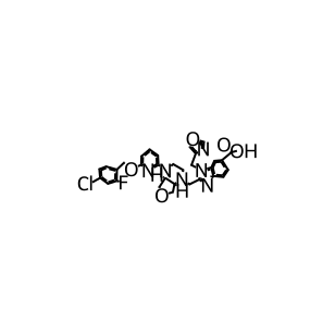 O=C(O)c1ccc2nc(CN3CCN(c4cccc(OCc5ccc(Cl)cc5F)n4)[C@H]4COC[C@H]43)n(Cc3cocn3)c2c1